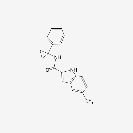 O=C(NC1(c2ccccc2)CC1)c1cc2cc(C(F)(F)F)ccc2[nH]1